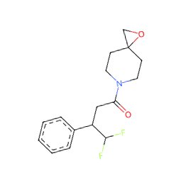 O=C(CC(c1ccccc1)C(F)F)N1CCC2(CC1)CO2